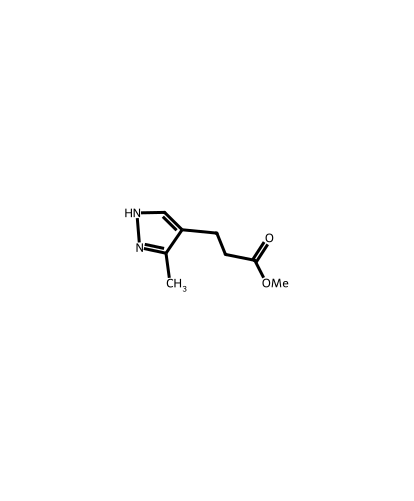 COC(=O)CCc1c[nH]nc1C